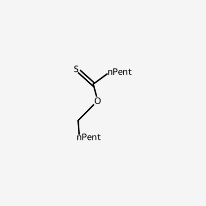 CCCCCCOC(=S)CCCCC